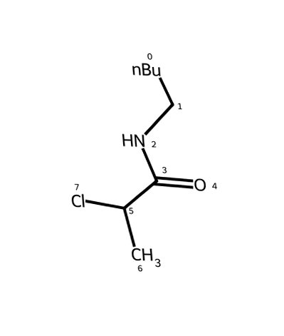 CCCCCNC(=O)C(C)Cl